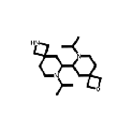 CC(C)N1CCC2(CNC2)CC1C1CC2(CCN1C(C)C)COC2